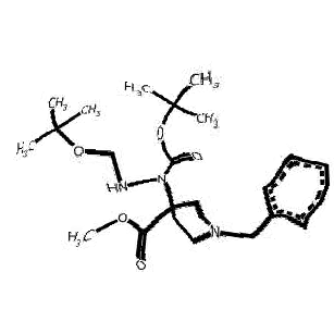 COC(=O)C1(N(NCOC(C)(C)C)C(=O)OC(C)(C)C)CN(Cc2ccccc2)C1